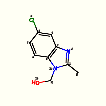 Cc1nc2cc(Cl)ccc2n1CO